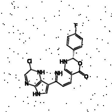 N=C(/C=C\C1=CN[C@H](c2ccc(F)cc2)OC1=O)c1c[nH]c2c1NC(Cl)C=N2